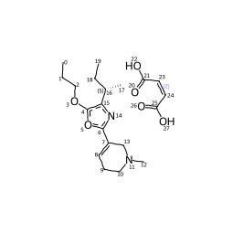 CCCOc1oc(C2=CCCN(C)C2)nc1[C@@H](C)CC.O=C(O)/C=C\C(=O)O